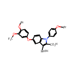 CC(=O)Nc1c(C(=O)O)n(-c2ccc(OC(C)C)cc2)c2ccc(Oc3ccc(OC(C)C)c(OC(F)(F)F)c3)cc12